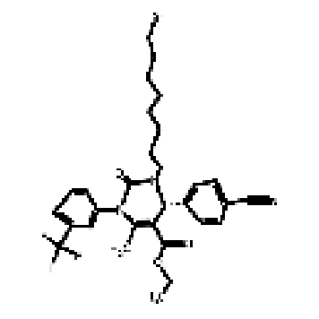 CCOC(=O)C1=C(C)N(c2cccc(C(F)(F)F)c2)C(=O)N(CCCCCCCCBr)[C@@H]1c1ccc(C#N)cc1